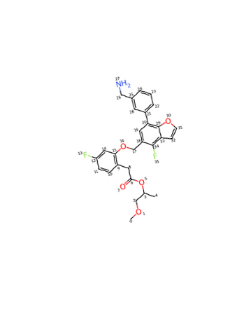 COCC(C)OC(=O)Cc1ccc(F)cc1OCc1cc(-c2cccc(CN)c2)c2occc2c1F